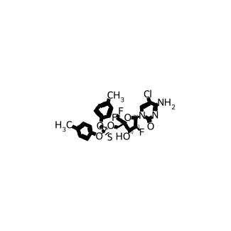 Cc1ccc(OP(=S)(OC[C@@]2(C(F)F)O[C@@H](n3cc(Cl)c(N)nc3=O)[C@@H](F)[C@@H]2O)Oc2ccc(C)cc2)cc1